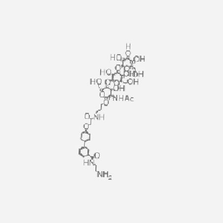 CC(=O)N[C@H]1[C@H](OCCCNC(=O)COc2ccc(-c3cccc(C(=O)NCCN)c3)cc2)O[C@H](CO)[C@@H](O[C@@H]2O[C@H](CO)[C@H](O)[C@H](O[C@H]3O[C@H](CO)[C@H](O)[C@H](O)[C@H]3O)[C@H]2O)[C@@H]1O